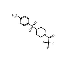 Bc1ccc(S(=O)(=O)C2CCN(C(=O)C(F)(F)F)CC2)cc1